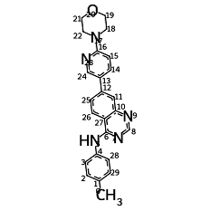 Cc1ccc(Nc2ncnc3cc(-c4ccc(N5CCOCC5)nc4)ccc23)cc1